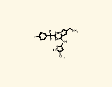 Cc1cc(Nc2nc(C(F)(F)c3ccc(F)cc3)nn3cc(CN)cc23)n[nH]1